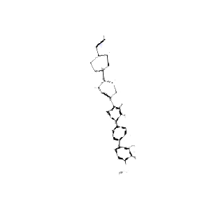 C/C=C/C1CCC(C2CC=C(c3ccc(-c4ccc(-c5ccc(OC)c(F)c5F)cc4)c(F)c3F)CC2)CC1